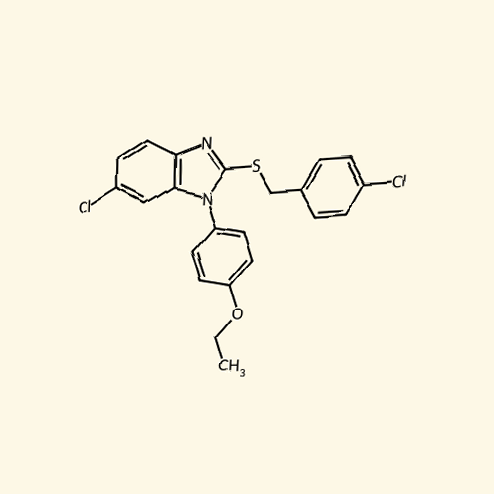 CCOc1ccc(-n2c(SCc3ccc(Cl)cc3)nc3ccc(Cl)cc32)cc1